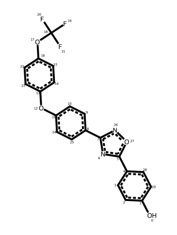 Oc1ccc(-c2nc(-c3ccc(Oc4ccc(OC(F)(F)F)cc4)cc3)no2)cc1